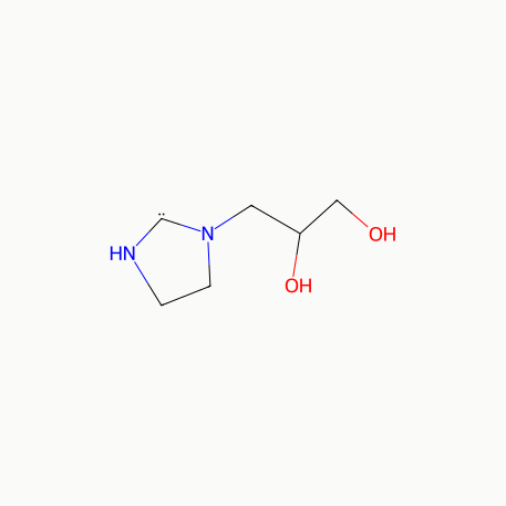 OCC(O)CN1[C]NCC1